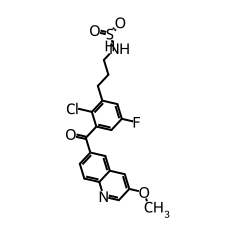 COc1cnc2ccc(C(=O)c3cc(F)cc(CCCN[SH](=O)=O)c3Cl)cc2c1